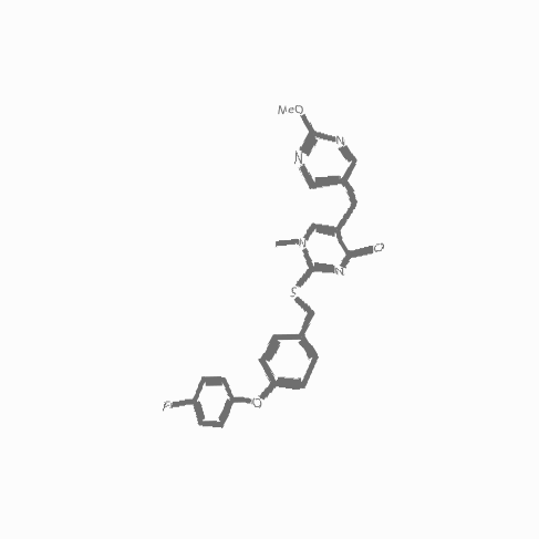 COc1ncc(Cc2cn(C)c(SCc3ccc(Oc4ccc(F)cc4)cc3)nc2=O)cn1